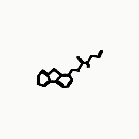 C=CCNC(=O)OCc1cccc2c1Cc1ccccc1-2